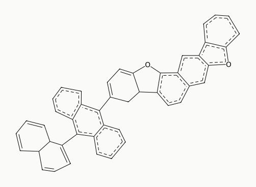 C1=CC2C=CC=C(c3c4ccccc4c(C4=CC=C5Oc6c(ccc7cc8oc9ccccc9c8cc67)C5C4)c4ccccc34)C2C=C1